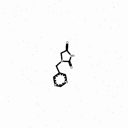 O=C1CN(Cc2cncnc2)C(=O)N1